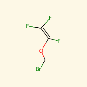 FC(F)=C(F)OCBr